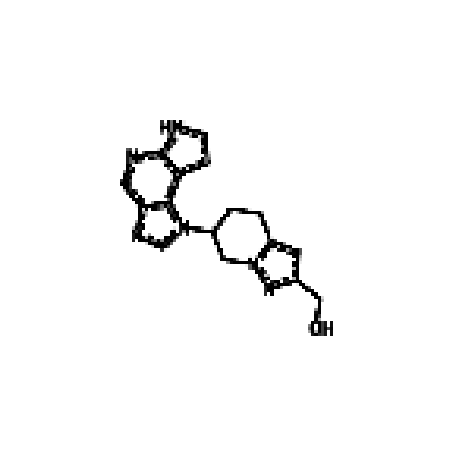 OCc1cc2n(n1)CC(n1cnc3cnc4[nH]ccc4c31)CC2